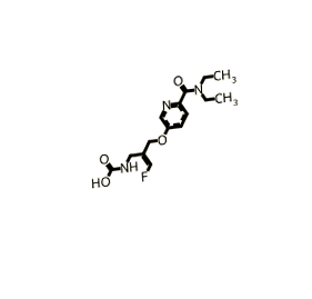 CCN(CC)C(=O)c1ccc(OCC(=CF)CNC(=O)O)cn1